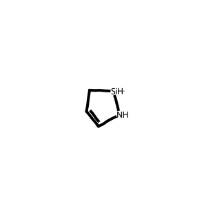 C1=CN[SiH]C1